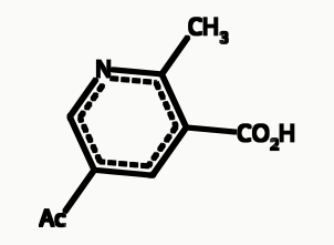 CC(=O)c1cnc(C)c(C(=O)O)c1